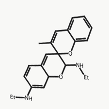 CCNC1=CC2OC(NCC)C3(C=C2C=C1)Oc1ccccc1C=C3C